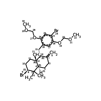 C=C1CC[C@H]2C(C)(C)[C@@H](Br)CC[C@]2(C)[C@@H]1Cc1cc(OCOC)c(Br)cc1OCOC